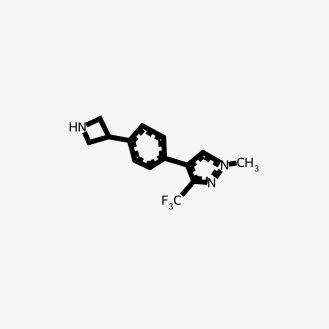 Cn1cc(-c2ccc(C3CNC3)cc2)c(C(F)(F)F)n1